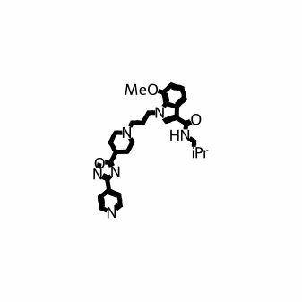 COc1cccc2c(C(=O)NCC(C)C)cn(CCCN3CCC(c4nc(-c5ccncc5)no4)CC3)c12